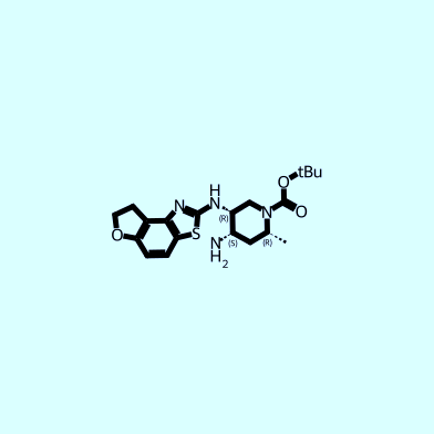 C[C@@H]1C[C@H](N)[C@H](Nc2nc3c4c(ccc3s2)OCC4)CN1C(=O)OC(C)(C)C